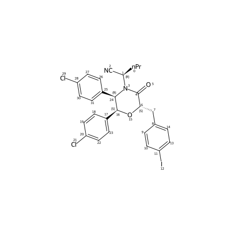 CCC[C@H](C#N)N1C(=O)[C@H](Cc2ccc(I)cc2)O[C@@H](c2ccc(Cl)cc2)[C@H]1c1ccc(Cl)cc1